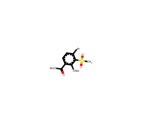 COC(=O)c1ccc(C(C)C)c(S(C)(=O)=O)c1OC